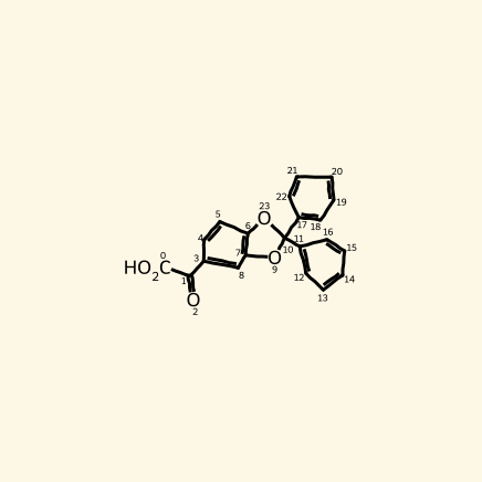 O=C(O)C(=O)c1ccc2c(c1)OC(c1ccccc1)(c1ccccc1)O2